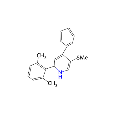 CSC1=CNC(c2c(C)cccc2C)C=C1c1ccccc1